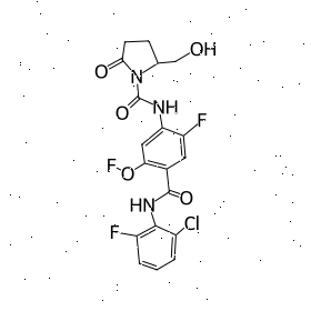 O=C(Nc1c(F)cccc1Cl)c1cc(F)c(NC(=O)N2C(=O)CCC2CO)cc1OF